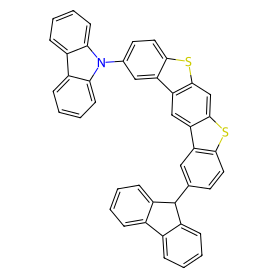 c1ccc2c(c1)-c1ccccc1C2c1ccc2sc3cc4sc5ccc(-n6c7ccccc7c7ccccc76)cc5c4cc3c2c1